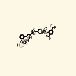 CS(=O)(=O)Nc1ccccc1C1CC(c2csc(C3CCN(C(=O)Nc4cc(C(F)F)ccc4C(F)F)CC3)n2)=NO1